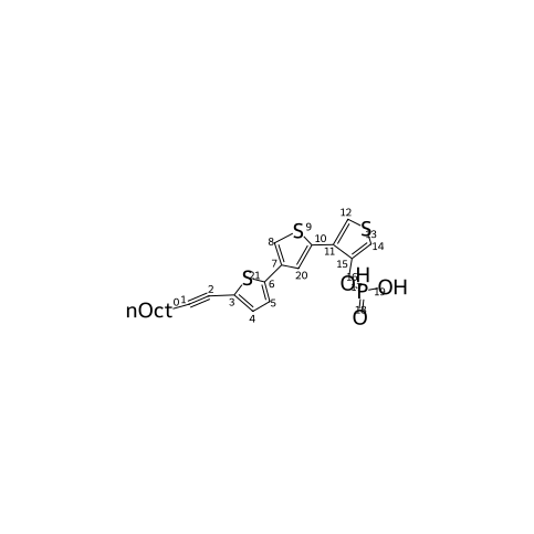 CCCCCCCCC#Cc1ccc(-c2csc(-c3cscc3O[PH](=O)O)c2)s1